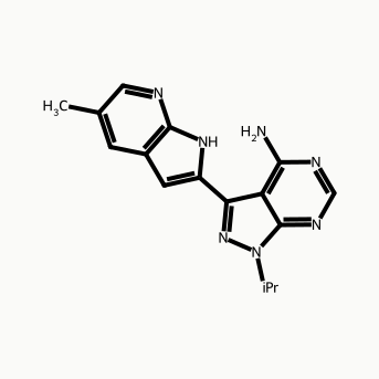 Cc1cnc2[nH]c(-c3nn(C(C)C)c4ncnc(N)c34)cc2c1